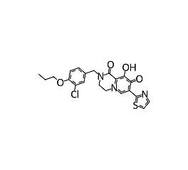 CCCOc1ccc(CN2CCn3cc(-c4nccs4)c(=O)c(O)c3C2=O)cc1Cl